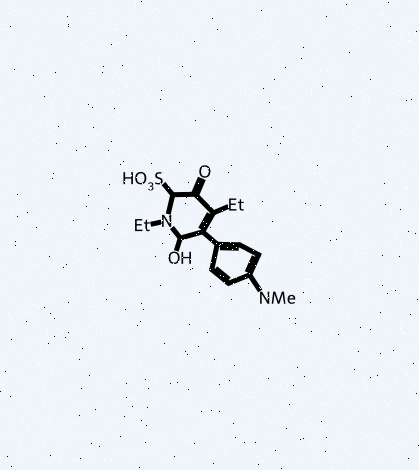 CCC1=C(c2ccc(NC)cc2)C(O)N(CC)C(S(=O)(=O)O)C1=O